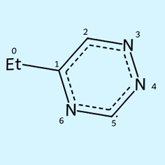 CCc1cnn[c]n1